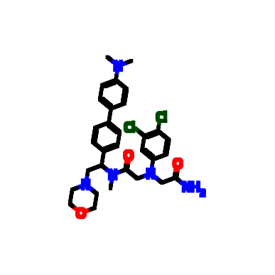 CN(C)c1ccc(-c2ccc(C(CN3CCOCC3)N(C)C(=O)CN(CC(N)=O)c3ccc(Cl)c(Cl)c3)cc2)cc1